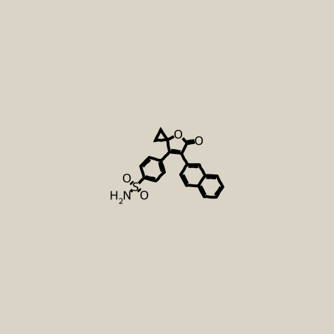 NS(=O)(=O)c1ccc(C2=C(c3ccc4ccccc4c3)C(=O)OC23CC3)cc1